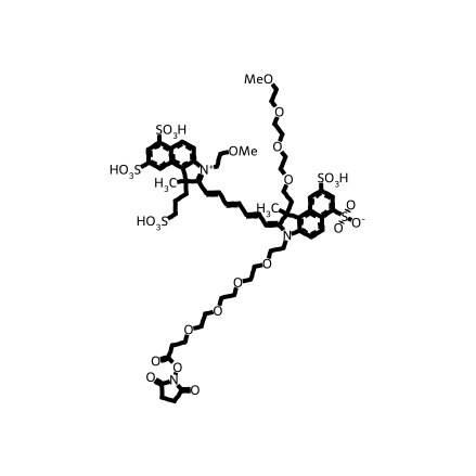 COCCOCCOCCOCCC1(C)\C(=C/C=C/C=C/C=C/C2=[N+](CCOC)c3ccc4c(S(=O)(=O)O)cc(S(=O)(=O)O)cc4c3C2(C)CCCS(=O)(=O)O)N(CCOCCOCCOCCOCCC(=O)ON2C(=O)CCC2=O)c2ccc3c(S(=O)(=O)[O-])cc(S(=O)(=O)O)cc3c21